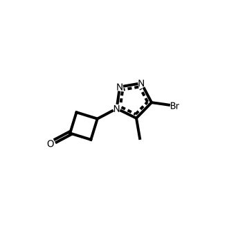 Cc1c(Br)nnn1C1CC(=O)C1